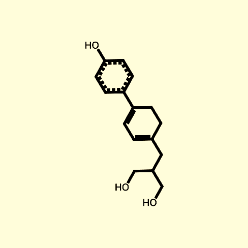 OCC(CO)CC1=CC=C(c2ccc(O)cc2)CC1